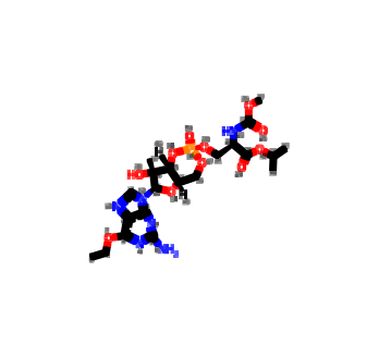 CCOc1nc(N)nc2c1ncn2[C@@H]1O[C@@H]2CO[P@](=O)(OC[C@@H](NC(=O)OC)C(=O)OC(C)C)O[C@H]2[C@@]1(C)O